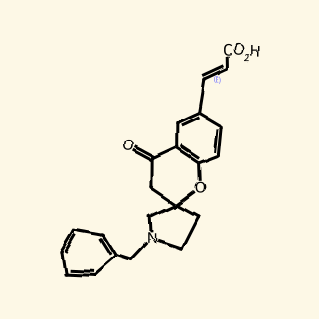 O=C(O)/C=C/c1ccc2c(c1)C(=O)CC1(CCN(Cc3ccccc3)C1)O2